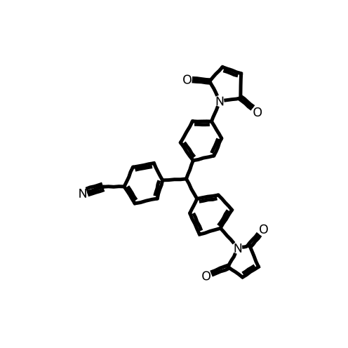 N#Cc1ccc(C(c2ccc(N3C(=O)C=CC3=O)cc2)c2ccc(N3C(=O)C=CC3=O)cc2)cc1